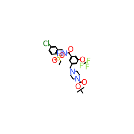 CCS(=O)(=O)c1ccc(Cl)cc1CNC(=O)c1cc(CN2CCN(C(=O)OC(C)(C)C)CC2)cc(OC(F)(F)F)c1